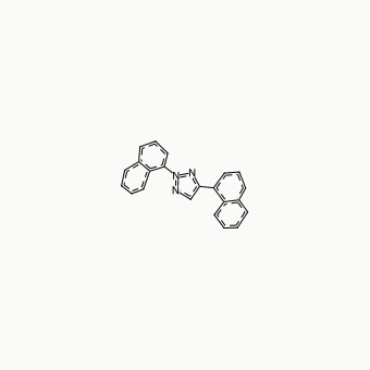 c1ccc2c(-c3cnn(-c4cccc5ccccc45)n3)cccc2c1